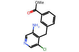 COC(=O)c1cccc(Cc2c(N)cncc2Cl)c1